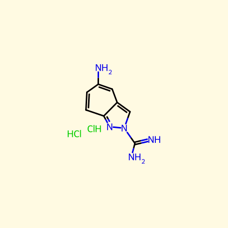 Cl.Cl.N=C(N)n1cc2cc(N)ccc2n1